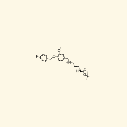 COc1cc(CNCCCNC(=O)OC(C)(C)C)ccc1OCc1ccc(F)cc1